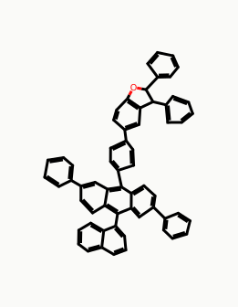 c1ccc(-c2ccc3c(-c4cccc5ccccc45)c4cc(-c5ccccc5)ccc4c(-c4ccc(-c5ccc6c(c5)C(c5ccccc5)C(c5ccccc5)O6)cc4)c3c2)cc1